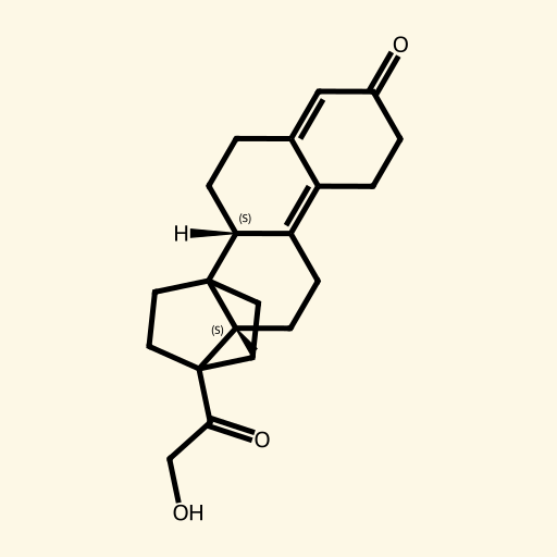 C[C@]12CCC3=C4CCC(=O)C=C4CC[C@H]3C13CCC2(C(=O)CO)CC3